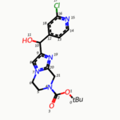 CC(C)(C)OC(=O)N1CCn2cc(C(O)c3ccnc(Cl)c3)nc2C1